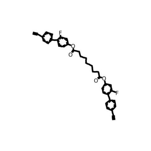 C#Cc1ccc(-c2ccc(OC(=O)CCCCCCCC(=O)Oc3ccc(-c4ccc(C#C)cc4)c(F)c3)cc2F)cc1